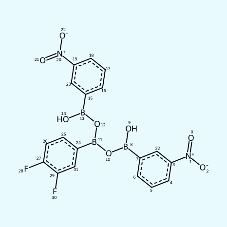 O=[N+]([O-])c1cccc(B(O)OB(OB(O)c2cccc([N+](=O)[O-])c2)c2ccc(F)c(F)c2)c1